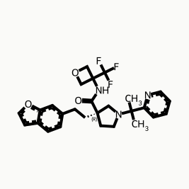 CC(C)(c1ccccn1)N1CC[C@@](CCc2ccc3ccoc3c2)(C(=O)NC2(C(F)(F)F)COC2)C1